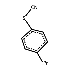 CC(C)c1ccc(SC#N)cc1